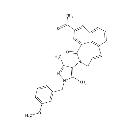 COc1cccc(Cn2nc(C)c(N3C/C=C/c4cccc5nc(C(N)=O)cc(c45)C3=O)c2C)c1